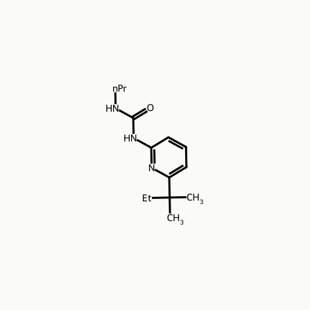 CCCNC(=O)Nc1cccc(C(C)(C)CC)n1